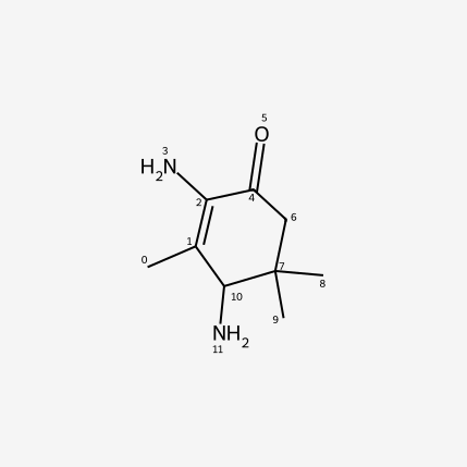 CC1=C(N)C(=O)CC(C)(C)C1N